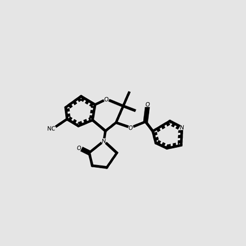 CC1(C)Oc2ccc(C#N)cc2C(N2CCCC2=O)C1OC(=O)c1cccnc1